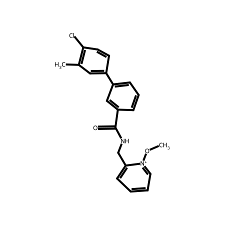 CO[n+]1ccccc1CNC(=O)c1cccc(-c2ccc(Cl)c(C)c2)c1